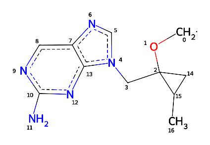 [CH2]OC1(Cn2cnc3cnc(N)nc32)CC1C